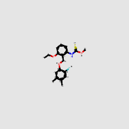 CCOc1cccc(NC(=S)OC)c1COc1cc(C)c(C)cc1F